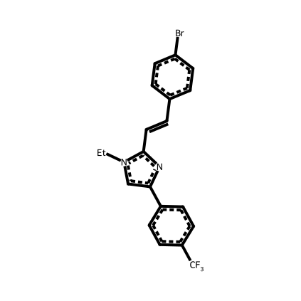 CCn1cc(-c2ccc(C(F)(F)F)cc2)nc1C=Cc1ccc(Br)cc1